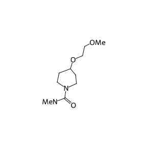 CNC(=O)N1CCC(OCCOC)CC1